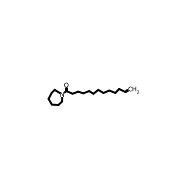 C=CCCCCCCCCCCC(=O)N1CCCCCC1